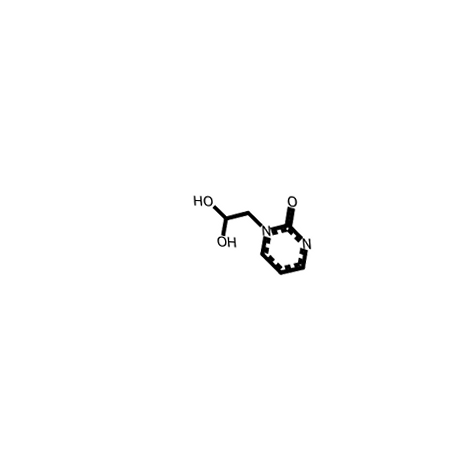 O=c1ncccn1CC(O)O